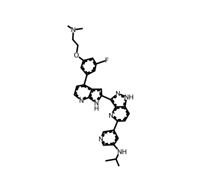 CC(C)Nc1cncc(-c2ccc3[nH]nc(-c4cc5c(-c6cc(F)cc(OCCN(C)C)c6)ccnc5[nH]4)c3n2)c1